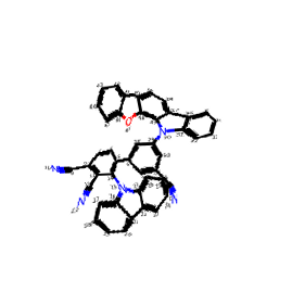 N#Cc1cc(-c2ccc(C#N)c(C#N)c2-n2c3ccccc3c3ccccc32)cc(-n2c3ccccc3c3ccc4c5ccccc5oc4c32)c1